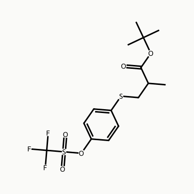 CC(CSc1ccc(OS(=O)(=O)C(F)(F)F)cc1)C(=O)OC(C)(C)C